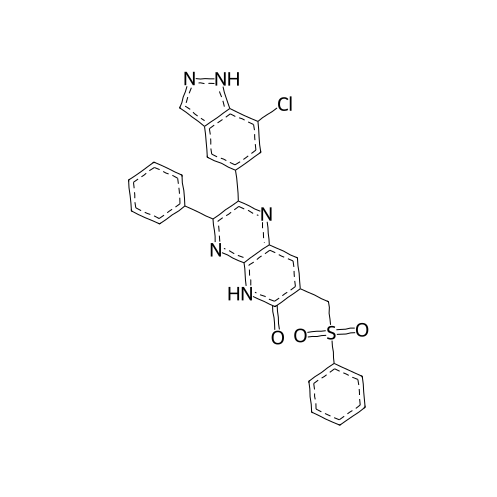 O=c1[nH]c2nc(-c3ccccc3)c(-c3cc(Cl)c4[nH]ncc4c3)nc2cc1CS(=O)(=O)c1ccccc1